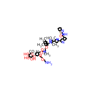 Cc1c(-c2ccc(-c3cnc4cccc(C(=O)Nc5nc6ccccc6s5)c4c3)nc2C(=O)O)cnn1CC12CC3(C)CC(C)(C1)CC(OCCN(C)C(=O)OCc1ccc(O[C@@H]4O[C@H](C(=O)O)[C@@H](O)[C@H](O)[C@H]4O)cc1OCCOCCN)(C3)C2